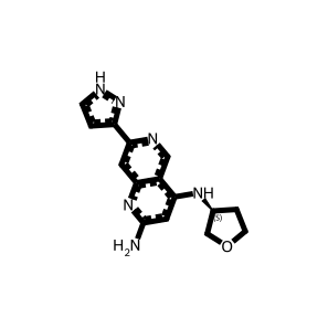 Nc1cc(N[C@H]2CCOC2)c2cnc(-c3cc[nH]n3)cc2n1